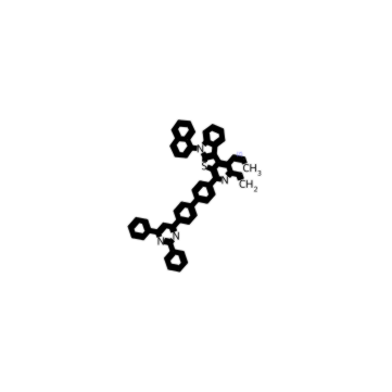 C=Cc1nc(-c2ccc(-c3ccc(-c4cc(-c5ccccc5)nc(-c5ccccc5)n4)cc3)cc2)c2sc3c(c4ccccc4n3-c3cccc4ccccc34)c2c1/C=C\C